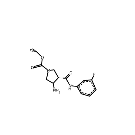 CC(C)(C)OC(=O)N1CC(N)[C@@H](C(=O)Nc2cccc(F)c2)C1